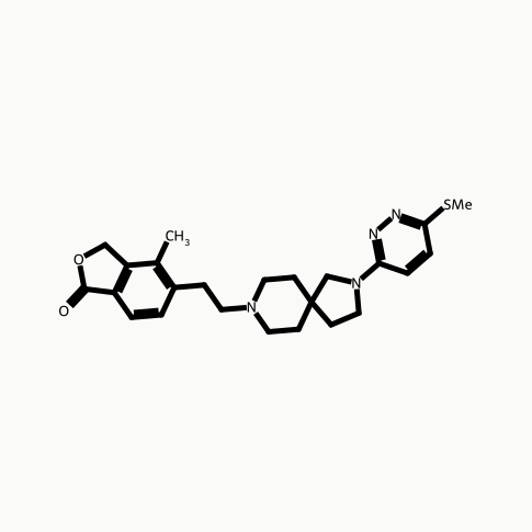 CSc1ccc(N2CCC3(CCN(CCc4ccc5c(c4C)COC5=O)CC3)C2)nn1